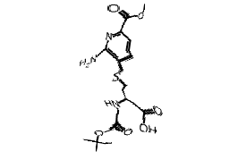 COC(=O)c1ccc(SC[C@H](NC(=O)OC(C)(C)C)C(=O)O)c(N)n1